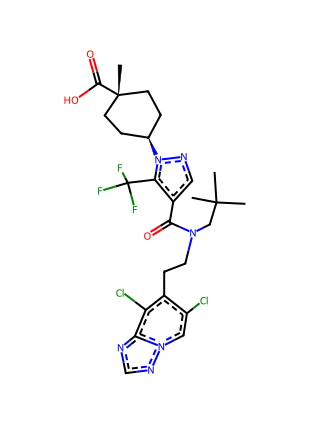 CC(C)(C)CN(CCc1c(Cl)cn2ncnc2c1Cl)C(=O)c1cnn([C@H]2CC[C@](C)(C(=O)O)CC2)c1C(F)(F)F